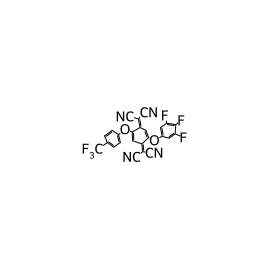 N#CC(C#N)=c1cc(Oc2cc(F)c(F)c(F)c2)c(=C(C#N)C#N)cc1Oc1ccc(C(F)(F)F)cc1